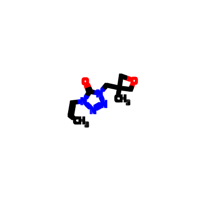 C/C=C\n1nnn(CC2(C)COC2)c1=O